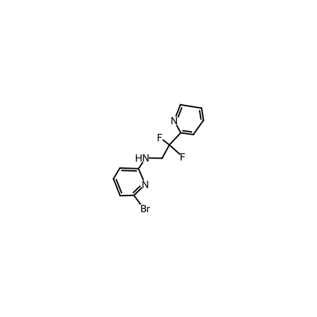 FC(F)(CNc1cccc(Br)n1)c1ccccn1